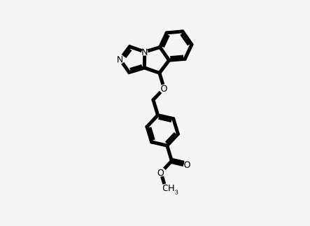 COC(=O)c1ccc(COC2c3ccccc3-n3cncc32)cc1